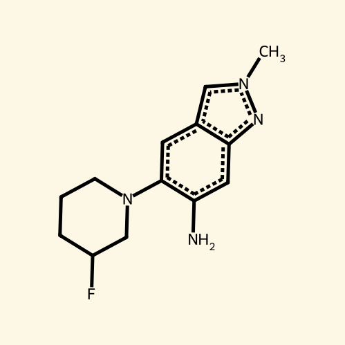 Cn1cc2cc(N3CCCC(F)C3)c(N)cc2n1